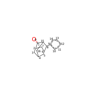 O=C1C2CC3CC(C2)C(c2ccccc2)C1C3